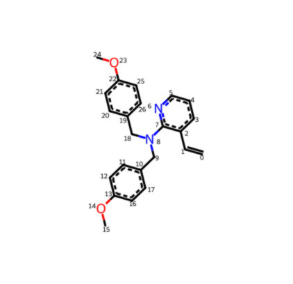 C=Cc1cccnc1N(Cc1ccc(OC)cc1)Cc1ccc(OC)cc1